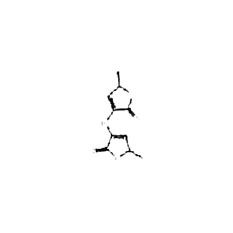 CC1C=C(NC2=CC(C)OC2=O)C(=O)O1